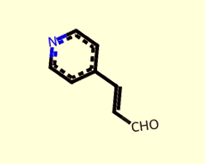 O=CC=Cc1ccncc1